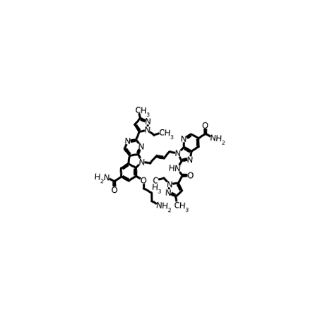 CCn1nc(C)cc1C(=O)Nc1nc2cc(C(N)=O)cnc2n1C/C=C/Cn1c2nc(-c3cc(C)nn3CC)ncc2c2cc(C(N)=O)cc(OCCCN)c21